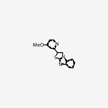 COc1ccnc(C2Cn3c(nc4ccccc43)S2)c1